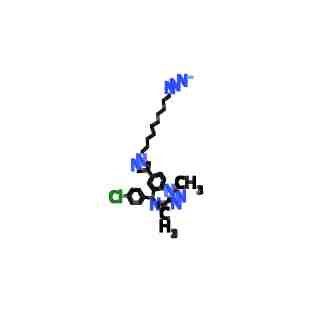 Cc1nnc2n1-c1ccc(-c3cnn(CCCCCCCCCCN=[N+]=[N-])c3)cc1C(c1ccc(Cl)cc1)=N[C@H]2C